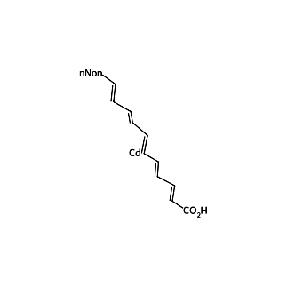 CCCCCCCCCC=CC=CC=CC=CC=CC(=O)O.[Cd]